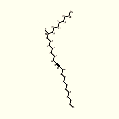 [CH2]CCCCCCCCCCC#CCCCCCCCC(C)CCCCCCC[CH2]